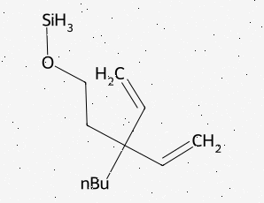 C=CC(C=C)(CCCC)CCO[SiH3]